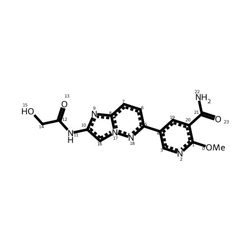 COc1ncc(-c2ccc3nc(NC(=O)CO)cn3n2)cc1C(N)=O